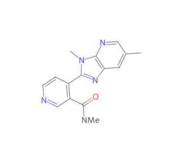 CNC(=O)c1cnccc1-c1nc2cc(C)cnc2n1C